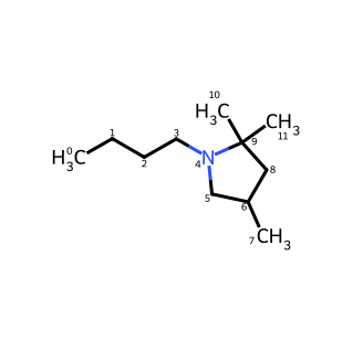 CCCCN1CC(C)CC1(C)C